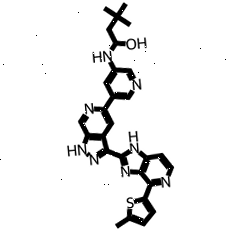 Cc1ccc(-c2nccc3[nH]c(-c4n[nH]c5cnc(-c6cncc(NC(O)CC(C)(C)C)c6)cc45)nc23)s1